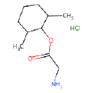 CC1CCCC(C)C1OC(=O)CN.Cl